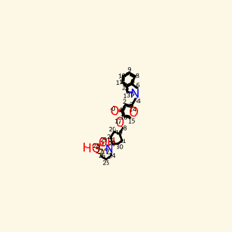 O=c1cc(CN2Cc3ccccc3C2)occ1OCC1CCC(N2CCCS2(O)O)CC1